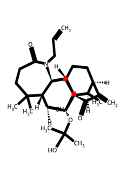 C=CCN1C(=O)CCC(C)(C)[C@H]2[C@H](O)[C@@]3(OC(C)(C)O)OC[C@]21[C@@H]1CC[C@H]2C(=C)C(=O)[C@]13[C@@H]2C